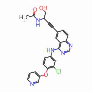 CC(=O)NC(C#Cc1ccc2ncnc(Nc3ccc(Oc4cccnc4)c(Cl)c3)c2c1)CO